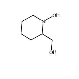 OCC1CCCCN1O